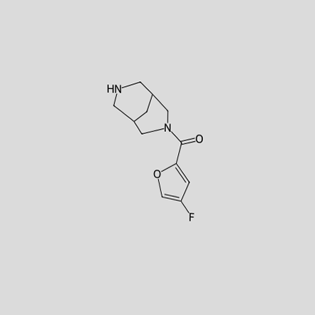 O=C(c1cc(F)co1)N1CC2CNCC(C2)C1